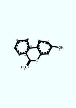 C=C1Oc2cc(O)ccc2-c2ccccc21